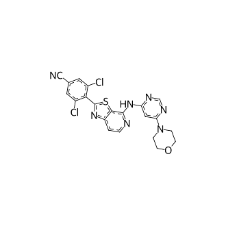 N#Cc1cc(Cl)c(-c2nc3ccnc(Nc4cc(N5CCOCC5)ncn4)c3s2)c(Cl)c1